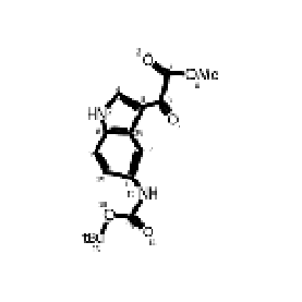 COC(=O)C(=O)c1c[nH]c2ccc(NC(=O)OC(C)(C)C)cc12